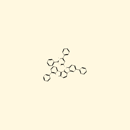 c1ccc(-c2ccc3c(c2)c2ccc4sc5c(-c6ccccc6)cccc5c4c2n3-c2cc(-c3ccccc3)nc(-c3ccccc3)n2)cc1